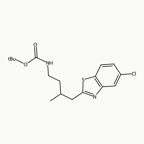 CC(CCNC(=O)OC(C)(C)C)Cc1nc2cc(Cl)ccc2s1